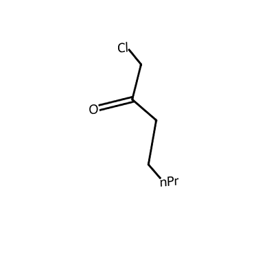 [CH2]CCCCC(=O)CCl